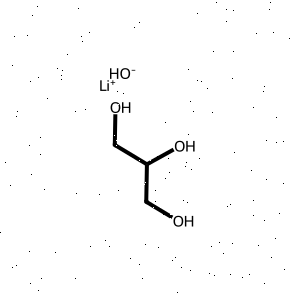 OCC(O)CO.[Li+].[OH-]